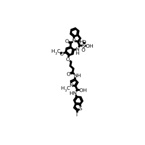 COc1cc2c(cc1OCCCC(=O)Nc1cc(C(O)Nc3ccc4sc(I)cc4c3)n(C)c1)NC(S(=O)(=O)O)[C@@H]1Cc3ccccc3N1C2=O